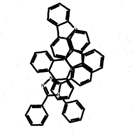 c1ccc(-c2nnc(-c3cccc4c5ccccc5n(-c5ccccc5-c5ccccc5-n5c6ccccc6c6c7oc8ccccc8c7ccc65)c34)n2-c2ccccc2)cc1